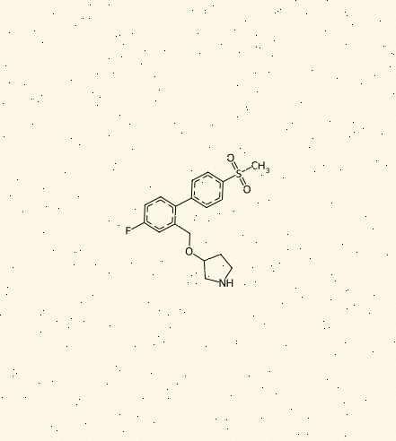 CS(=O)(=O)c1ccc(-c2ccc(F)cc2COC2CCNC2)cc1